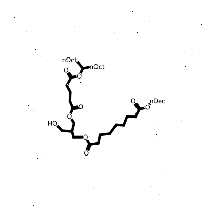 CCCCCCCCCCOC(=O)CCCCCCCC(=O)OCC(CO)COC(=O)CCCC(=O)OC(CCCCCCCC)CCCCCCCC